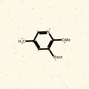 CCCC(C)c1cc(C)cnc1OC